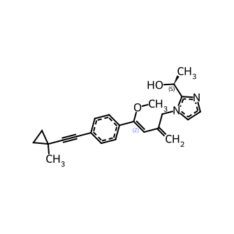 C=C(/C=C(\OC)c1ccc(C#CC2(C)CC2)cc1)Cn1ccnc1[C@H](C)O